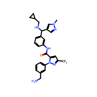 Cn1cc(C(NCC2CC2)c2cccc(NC(=O)c3cc(C(F)(F)F)nn3-c3cccc(CN)c3)c2)cn1